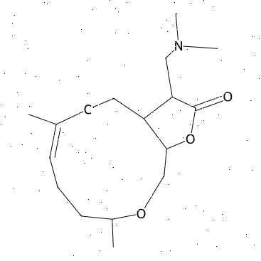 CC1=CCCC(C)OCC2OC(=O)C(CN(C)C)C2CC1